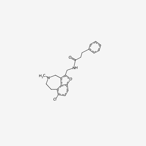 CN1CCc2c(Cl)ccc3oc(CNC(=O)CCc4ccccc4)c(c23)C1